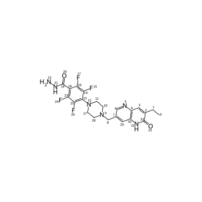 CCc1cc2ncc(CN3CCN(c4c(F)c(F)c(C(=O)NN)c(F)c4F)CC3)cc2[nH]c1=O